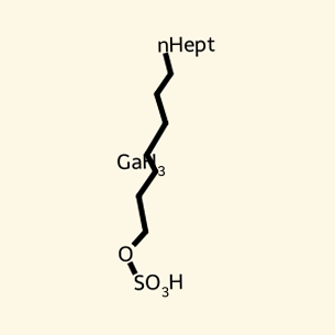 CCCCCCCCCCCCCCOS(=O)(=O)O.[GaH3]